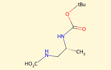 C[C@H](CNC(=O)O)NC(=O)OC(C)(C)C